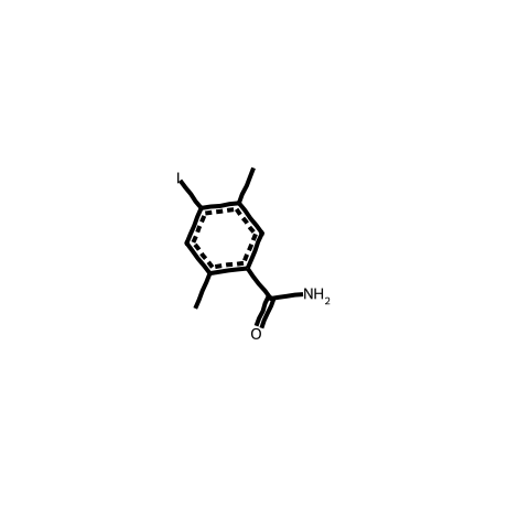 Cc1cc(C(N)=O)c(C)cc1I